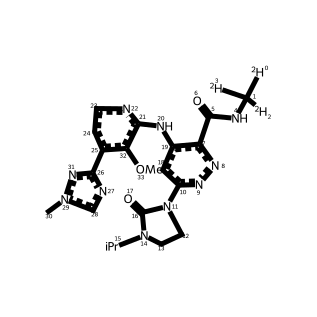 [2H]C([2H])([2H])NC(=O)c1nnc(N2CCN(C(C)C)C2=O)cc1Nc1nccc(-c2ncn(C)n2)c1OC